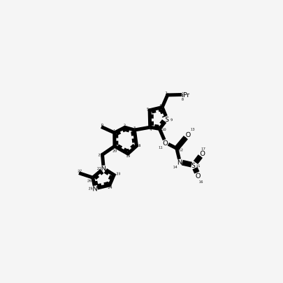 Cc1cc(-c2cc(CC(C)C)sc2OC(=O)N=S(=O)=O)ccc1Cn1ccnc1C